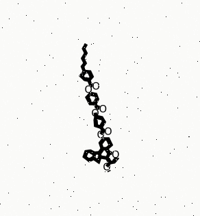 CCCCCCc1ccc(C(=O)Oc2ccc(C(=O)Oc3ccc(C(=O)Oc4ccc5c(c4)c4c6ccccc6cc4c4c(OC)ccoc54)cc3)cc2)cc1